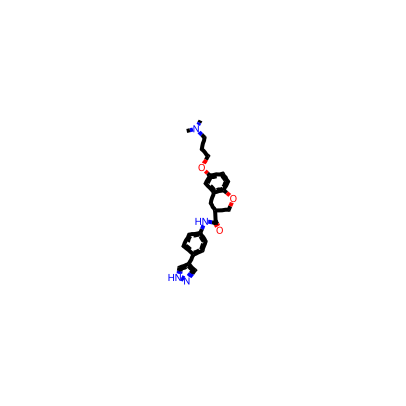 CN(C)CCCOc1ccc2c(c1)CC(C(=O)Nc1ccc(-c3cn[nH]c3)cc1)CO2